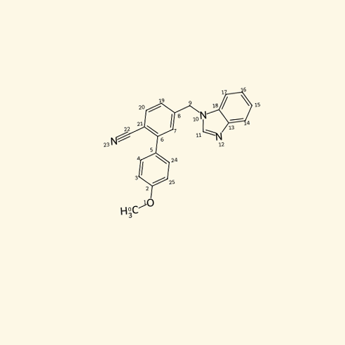 COc1ccc(-c2cc(Cn3cnc4ccccc43)ccc2C#N)cc1